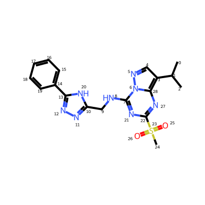 CC(C)c1cnn2c(NCc3nnc(-c4ccccc4)[nH]3)nc(S(C)(=O)=O)nc12